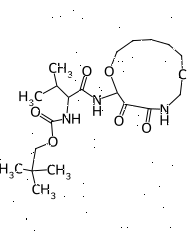 CC(C)C(NC(=O)OCC(C)(C)C)C(=O)NC1OCCCCCCCNC(=O)C1=O